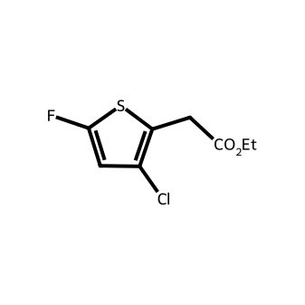 CCOC(=O)Cc1sc(F)cc1Cl